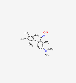 CC1=C(C)C(C)C(c2ccc(N(C)C)c(C)c2C=NO)=C1C